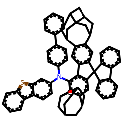 c1ccc(-c2ccc(N(c3ccc4c(c3)sc3ccccc34)c3c4c(cc5c3C3CC6CC(CC5C6)C3)C3(c5ccccc5-c5ccccc53)c3cc5c(cc3-4)C3CC4CC6CC5CC46C3)cc2)cc1